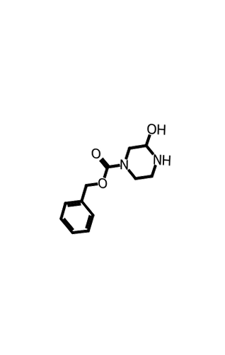 O=C(OCc1ccccc1)N1CCNC(O)C1